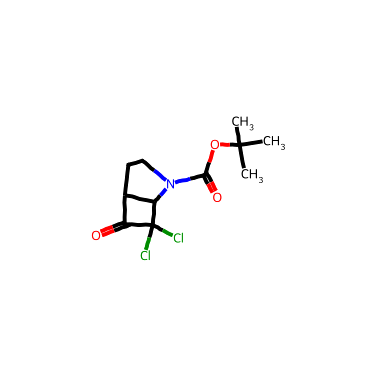 CC(C)(C)OC(=O)N1CCC2C(=O)C(Cl)(Cl)C21